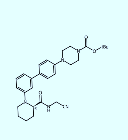 CC(C)(C)OC(=O)N1CCN(c2ccc(-c3cccc(N4CCCC[C@@H]4C(=O)NCC#N)c3)cc2)CC1